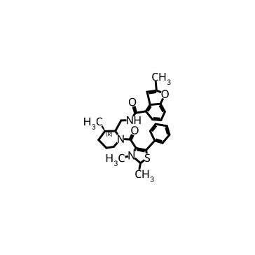 Cc1cc2c(C(=O)NCC3[C@H](C)CCCN3C(=O)C3=C(c4ccccc4)SC(C)N3C)cccc2o1